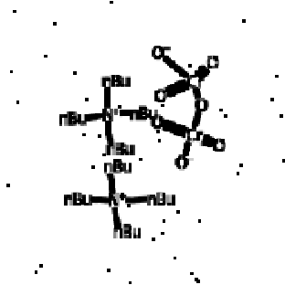 CCCC[N+](CCCC)(CCCC)CCCC.CCCC[N+](CCCC)(CCCC)CCCC.[O]=[Cr](=[O])([O-])[O][Cr](=[O])(=[O])[O-]